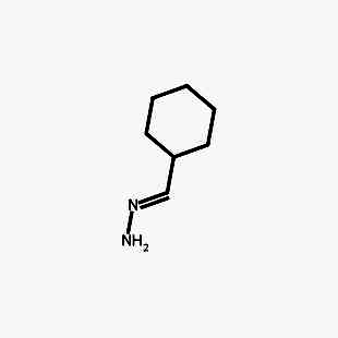 NN=CC1CCCCC1